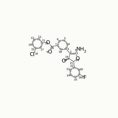 NC1=C(c2cccc(C(=O)Oc3cccc(Cl)c3)c2)C(=O)C(c2cccc(F)c2)O1